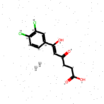 O=C(O)CCC(=O)C=C(O)c1ccc(Cl)c(Cl)c1.[Li].[Li]